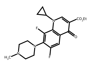 [CH2]N1CCN(c2c(F)cc3c(=O)c(C(=O)OCC)cn(C4CC4)c3c2F)CC1